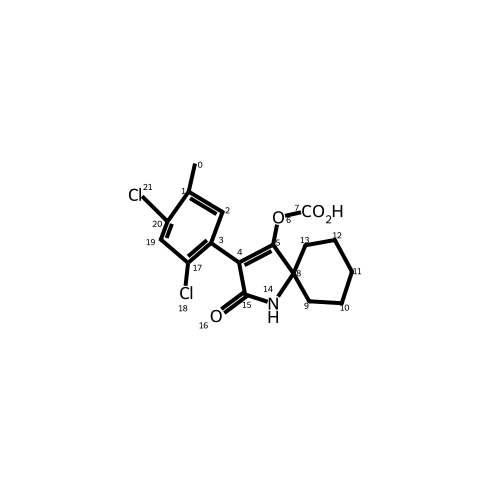 Cc1cc(C2=C(OC(=O)O)C3(CCCCC3)NC2=O)c(Cl)cc1Cl